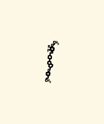 CCCc1ccc(OCC2CCC3CC(C4CCC(COc5ccc(OCC)c(F)c5F)CC4)CCC3C2)cc1